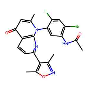 CC(=O)Nc1cc(-n2c(C)cc(=O)c3ccc(-c4c(C)noc4C)nc32)c(F)cc1Br